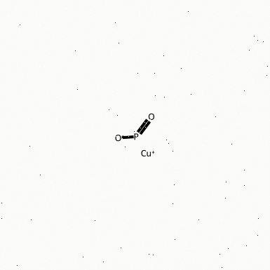 O=P[O-].[Cu+]